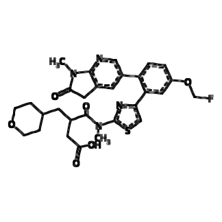 CN(C(=O)C(CC(=O)O)CC1CCOCC1)c1nc(-c2cc(OCF)ccc2-c2cnc3c(c2)CC(=O)N3C)cs1